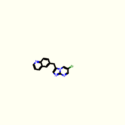 Brc1cnc2ncc(Cc3ccc4ncccc4c3)n2c1